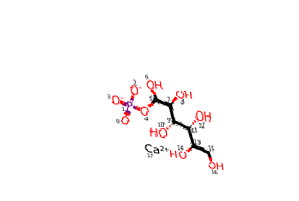 O=P([O-])([O-])OC(O)[C@@H](O)[C@@H](O)[C@H](O)[C@H](O)CO.[Ca+2]